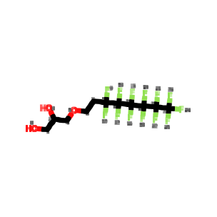 OCC(O)COCCC(F)(F)C(F)(F)C(F)(F)C(F)(F)C(F)(F)C(F)(F)F